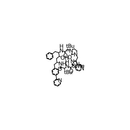 COC(=O)NC(C(=O)NC(Cc1ccc(-c2ccccn2)cc1)CC(O)C(Cc1ccccc1)NC(=O)[C@@H](N1CCN(Cc2ncc3ccncn23)C1=O)C(C)(C)C)C(C)(C)C